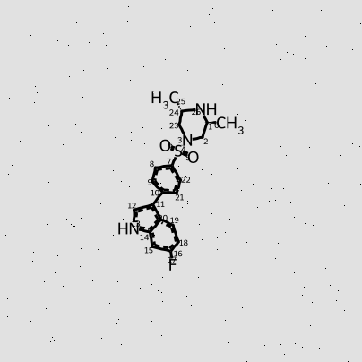 C[C@H]1CN(S(=O)(=O)c2ccc(-c3c[nH]c4cc(F)ccc34)cc2)C[C@H](C)N1